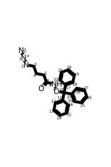 [N-]=[N+]=NCCCC(=O)NOC(c1ccccc1)(c1ccccc1)c1ccccc1